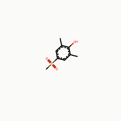 Cc1cc(S(C)(=O)=O)cc(C)c1O